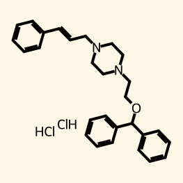 C(=Cc1ccccc1)CN1CCN(CCOC(c2ccccc2)c2ccccc2)CC1.Cl.Cl